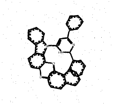 C1=C(n2c3ccccc3c3ccc4c(c32)Oc2c(ccc3ccccc23)O4)NC(c2ccccc2)N=C1c1ccccc1